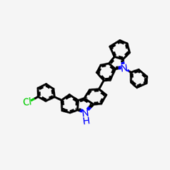 Clc1cccc(-c2ccc3[nH]c4ccc(-c5ccc6c7ccccc7n(-c7ccccc7)c6c5)cc4c3c2)c1